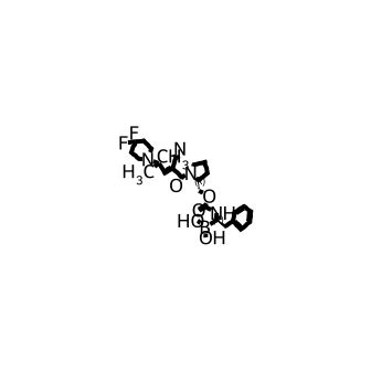 CC(C)(C=C(C#N)C(=O)N1CCC[C@@H]1COC(=O)N[C@@H](Cc1ccccc1)B(O)O)N1CCC(F)(F)CC1